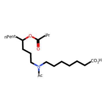 CCCCCC(CCCN(CCCCCCC(=O)O)C(C)=O)OC(=O)C(C)C